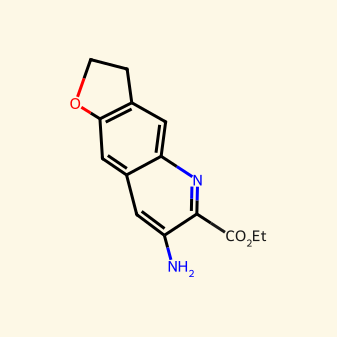 CCOC(=O)c1nc2cc3c(cc2cc1N)OCC3